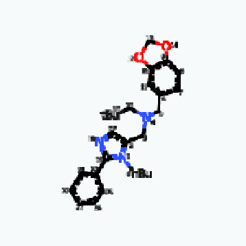 CCCCn1c(CN(Cc2ccc3c(c2)OCO3)CC(C)(C)C)cnc1-c1ccccc1